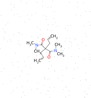 C=CCC(CC=C)(C(=O)N(C)C)C(=O)N(C)C